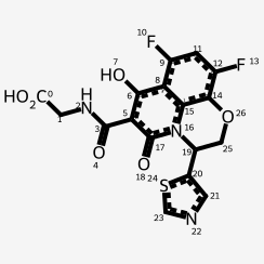 O=C(O)CNC(=O)c1c(O)c2c(F)cc(F)c3c2n(c1=O)C(c1cncs1)CO3